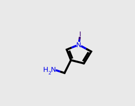 NCc1ccn(I)c1